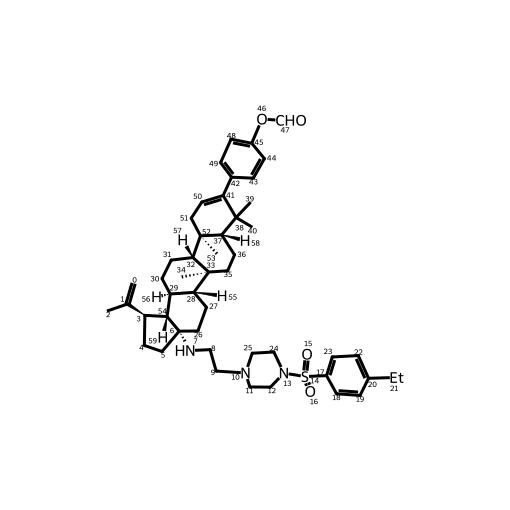 C=C(C)[C@@H]1CC[C@]2(NCCN3CCN(S(=O)(=O)c4ccc(CC)cc4)CC3)CC[C@@H]3[C@H](CC[C@H]4[C@@]3(C)CC[C@H]3C(C)(C)C(c5ccc(OC=O)cc5)=CC[C@]43C)[C@@H]12